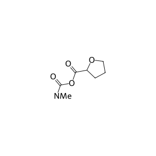 CNC(=O)OC(=O)C1CCCO1